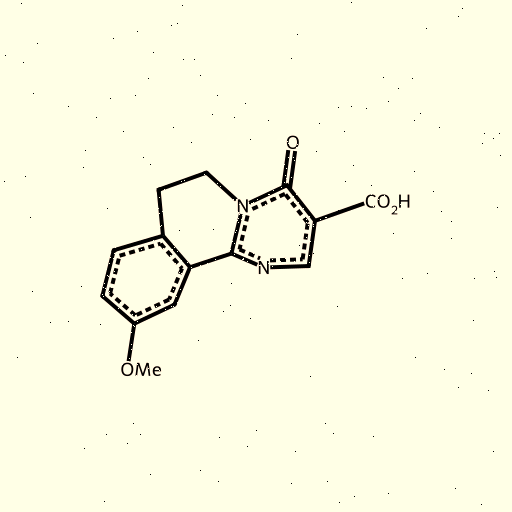 COc1ccc2c(c1)-c1ncc(C(=O)O)c(=O)n1CC2